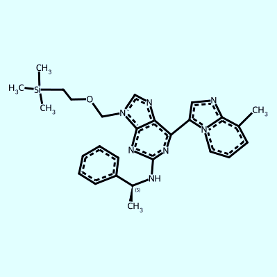 Cc1cccn2c(-c3nc(N[C@@H](C)c4ccccc4)nc4c3ncn4COCC[Si](C)(C)C)cnc12